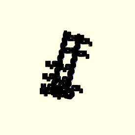 CC(=O)/C(C)=C/C=C/C(C)=C/C=C/C=C(C)/C=C/C=C(C)/C=C/C1=C(C)CCCC1(C)C.CC(=O)/C(C)=C/C=C/C(C)=C/C=C/C=C(C)/C=C/C=C(C)/C=C/C1=C(C)CCCC1(C)C